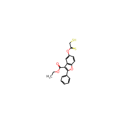 CCOC(=O)c1c(-c2ccccc2)oc2ccc(OC(=S)CS)cc12